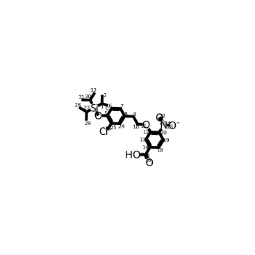 CC(C)[Si](Oc1ccc(CCOc2cc(C(=O)O)ccc2[N+](=O)[O-])cc1Cl)(C(C)C)C(C)C